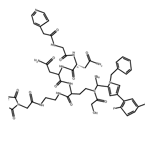 CC(C)(C)C(c1cc(-c2cc(F)ccc2F)cn1Cc1ccccc1)N(CCC(NC(=O)C(CC(N)=O)NC(=O)[C@@H](CC(N)=O)NC(=O)CNC(=O)Cc1ccncc1)C(=O)NCCNC(=O)CN1C(=O)C=CC1=O)C(=O)CO